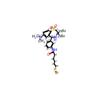 CCCCC1(CCCC)CS(=O)(=O)c2ccc(N(C)C)cc2C(c2cccc(NC(=O)CCCCCSBr)c2)N1